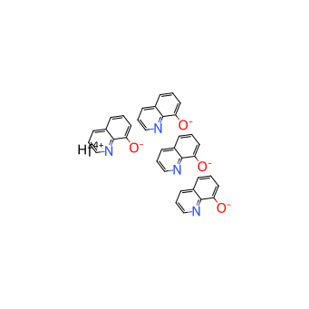 [Hf+4].[O-]c1cccc2cccnc12.[O-]c1cccc2cccnc12.[O-]c1cccc2cccnc12.[O-]c1cccc2cccnc12